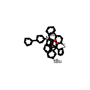 CC(C)(C)c1ccc2c(c1)C1(c3ccccc3Sc3ccc(-c4ccccc4N(c4ccc(-c5ccccc5)cc4)c4cccc5ccccc45)cc31)c1cc(C(C)(C)C)ccc1-2